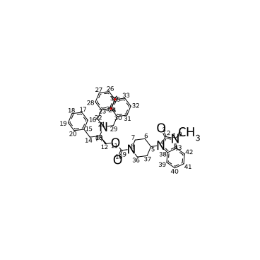 Cn1c(=O)n(C2CCN(C(=O)OC[C@@H](Cc3ccccc3)N(Cc3ccccc3)Cc3ccccc3)CC2)c2ccccc21